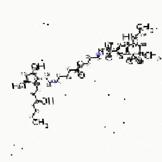 CCCC[C@H](O)CC[C@@H]1[C@@H](C/C=C\CCCC(=O)OCC/C=N/S(=O)(=O)c2cc3c(s2)S(=O)(=O)[C@@H](C)C[C@@H]3NCC)[C@@H](O)C[C@H]1O